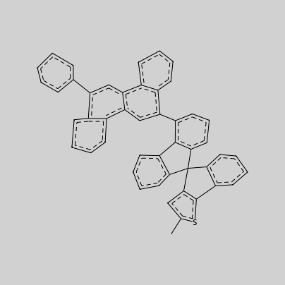 Cc1cc2c(s1)-c1ccccc1C21c2ccccc2-c2c(-c3cc4c5ccccc5c(-c5ccccc5)cc4c4ccccc34)cccc21